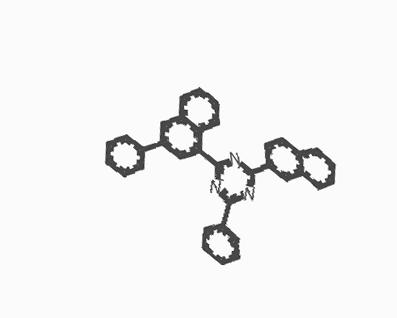 c1ccc(-c2cc(-c3nc(-c4ccccc4)nc(-c4ccc5ccccc5c4)n3)c3ccccc3c2)cc1